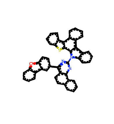 c1ccc2c(c1)ccc1c(-c3ccc4oc5ccccc5c4c3)nc(-n3c4ccccc4c4c5ccccc5c5c6ccccc6sc5c43)nc12